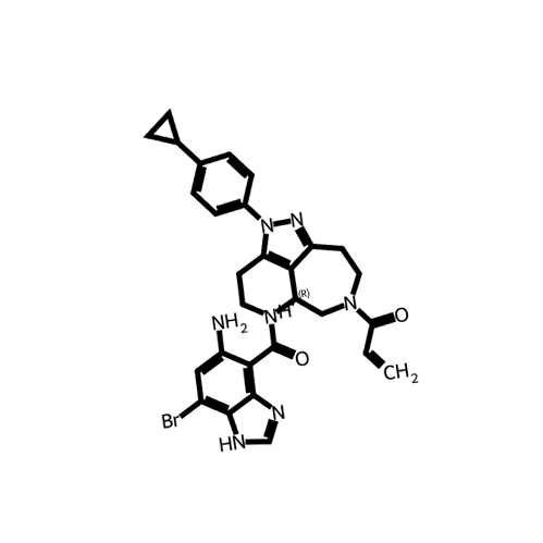 C=CC(=O)N1CCc2nn(-c3ccc(C4CC4)cc3)c3c2[C@H](C1)N(C(=O)c1c(N)cc(Br)c2[nH]cnc12)CC3